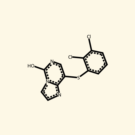 Oc1ncc(Sc2cccc(Cl)c2Cl)c2nccn12